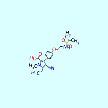 CCc1c(C#N)c(-c2ccc(OCCNS(=O)(=O)C(C)C)cc2)c(C(=O)O)n1C